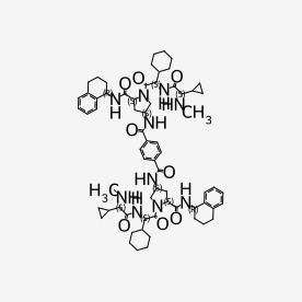 CN[C@H](C(=O)N[C@H](C(=O)N1C[C@@H](NC(=O)c2ccc(C(=O)N[C@H]3C[C@@H](C(=O)N[C@@H]4CCCc5ccccc54)N(C(=O)[C@@H](NC(=O)[C@@H](NC)C4CC4)C4CCCCC4)C3)cc2)C[C@H]1C(=O)N[C@@H]1CCCc2ccccc21)C1CCCCC1)C1CC1